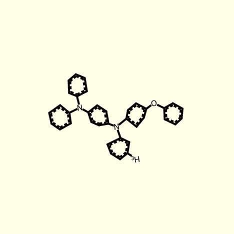 [3H]c1cccc(N(c2ccc(Oc3ccccc3)cc2)c2ccc(N(c3ccccc3)c3ccccc3)cc2)c1